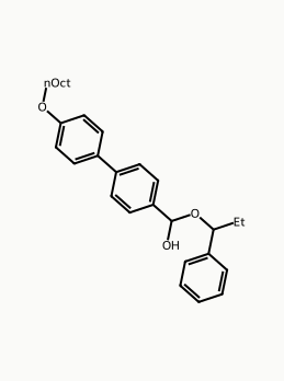 CCCCCCCCOc1ccc(-c2ccc(C(O)OC(CC)c3ccccc3)cc2)cc1